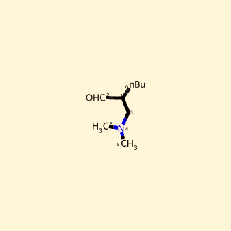 CCCCC(C=O)CN(C)C